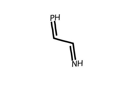 N=CC=P